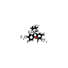 CC1(C)O[B-](c2cc(F)c(C(F)(F)F)c(F)c2)(c2c(Br)cc(F)c(C(F)(F)F)c2F)OC1(C)C